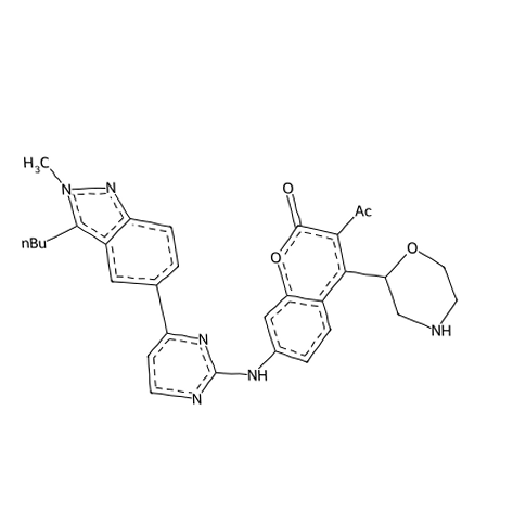 CCCCc1c2cc(-c3ccnc(Nc4ccc5c(C6CNCCO6)c(C(C)=O)c(=O)oc5c4)n3)ccc2nn1C